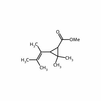 COC(=O)C1C(C(C)=C(C)C)C1(C)C